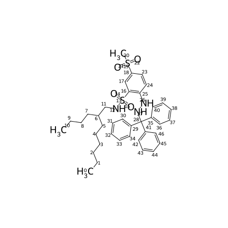 CCCCCCC(CCCC)CNS(=O)(=O)c1cc(S(C)(=O)=O)ccc1NNC(c1ccccc1)(c1ccccc1)c1ccccc1